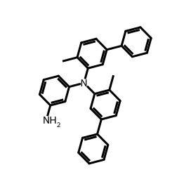 Cc1ccc(-c2ccccc2)cc1N(c1cccc(N)c1)c1cc(-c2ccccc2)ccc1C